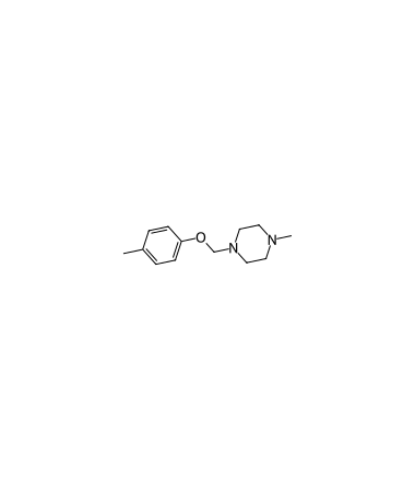 Cc1ccc(OCN2CCN(C)CC2)cc1